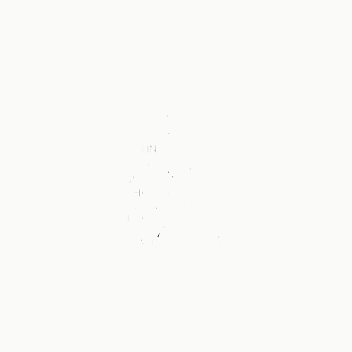 CC(=O)O[C@@H]1[C@@H](CO)O[C@@H](n2ccc(=O)[nH]c2=O)C1(O)O